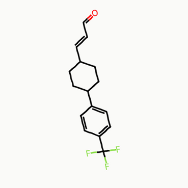 O=CC=CC1CCC(c2ccc(C(F)(F)F)cc2)CC1